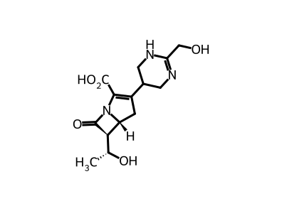 C[C@@H](O)[C@H]1C(=O)N2C(C(=O)O)=C(C3CN=C(CO)NC3)C[C@H]12